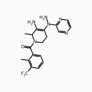 Cc1c(C(=O)N2CCC(N(N)c3cnccn3)=C(N)C2C)cccc1C(F)(F)F